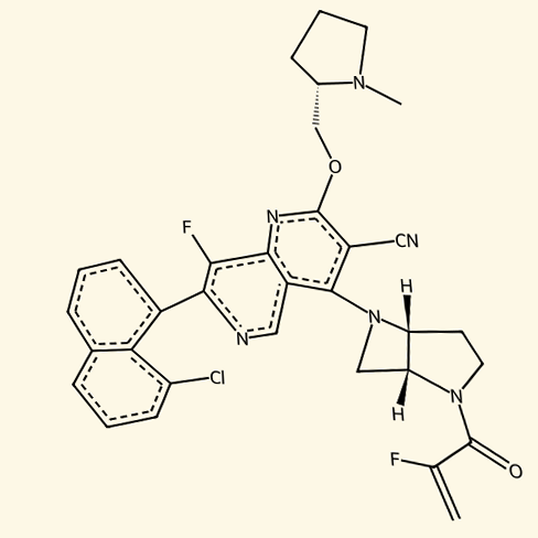 C=C(F)C(=O)N1CC[C@@H]2[C@H]1CN2c1c(C#N)c(OC[C@@H]2CCCN2C)nc2c(F)c(-c3cccc4cccc(Cl)c34)ncc12